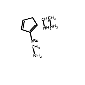 CCCCC1=C[CH]C=C1.CN.CN.CN